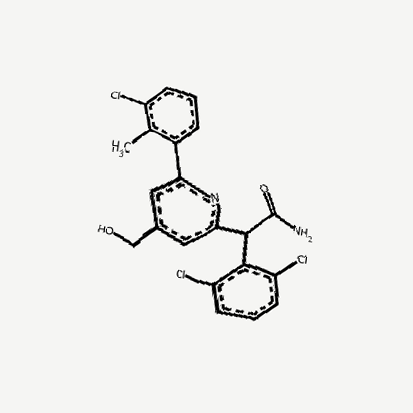 Cc1c(Cl)cccc1-c1cc(CO)cc(C(C(N)=O)c2c(Cl)cccc2Cl)n1